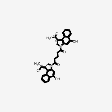 C[C@@H](Cl)[C@@H]1CN(C(=O)CCCC(=O)N2C[C@@H]([C@@H](C)Cl)c3c2cc(O)c2ccccc32)c2cc(O)c3ccccc3c21